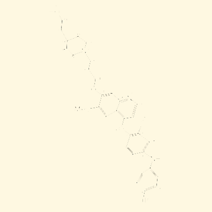 COc1cc2c(Oc3ccc(Nc4ccc(C(C)(C)C)cc4)cc3Cl)ccnc2cc1OCCCN1CCC(CCO)CC1